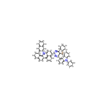 c1ccc(-n2c3ccccc3c3c(-c4nc(-c5ccc(N6c7cc8ccccc8cc7-c7cccc8cccc6c78)c6ccccc56)nc5c4sc4ccccc45)cccc32)cc1